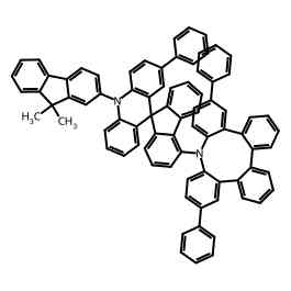 CC1(C)c2ccccc2-c2ccc(N3c4ccccc4C4(c5ccccc5-c5c(-n6c7ccc(-c8ccccc8)cc7c7ccccc7c7ccccc7c7cc(-c8ccccc8)ccc76)cccc54)c4cc(-c5ccccc5)ccc43)cc21